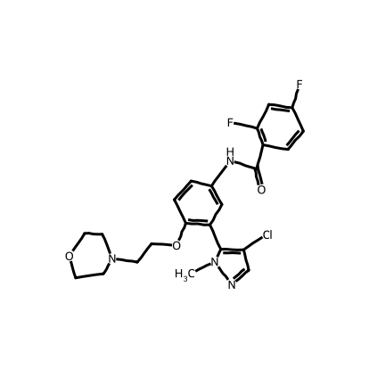 Cn1ncc(Cl)c1-c1cc(NC(=O)c2ccc(F)cc2F)ccc1OCCN1CCOCC1